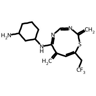 C=c1ncnc(NC2CCCC(N)C2)c(=C)cc(CC(F)(F)F)s1